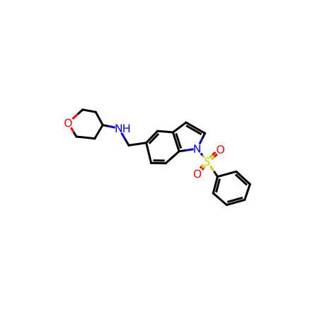 O=S(=O)(c1ccccc1)n1ccc2cc(CNC3CCOCC3)ccc21